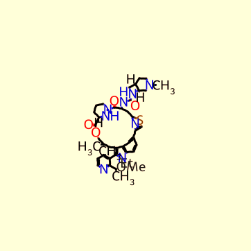 CCn1c(-c2cccnc2[C@H](C)OC)c2c3cc(ccc31)-c1csc(n1)C[C@H](NC(=O)N1C[C@H]3CCN(C)C[C@H]31)C(=O)N1CCC[C@H](N1)C(=O)OCC(C)(C)C2